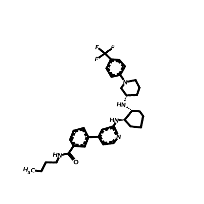 CCCCNC(=O)c1cccc(-c2ccnc(N[C@@H]3CCCC[C@H]3N[C@H]3CCCN(c4ccc(C(F)(F)F)cc4)C3)c2)c1